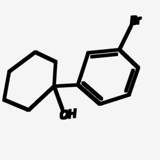 OC1(c2cccc(Br)c2)CCCCC1